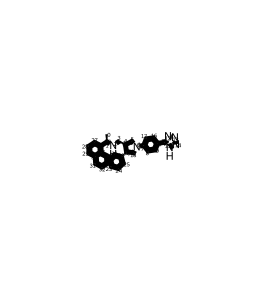 C[C@@H](NC[C@H]1CN(c2ccc(-c3nnn[nH]3)cc2)C[C@@H]1c1ccccc1)c1cccc2ccccc12